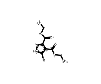 CCOC(=O)c1n[nH]c(Br)c1C(=O)OCC